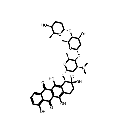 CC[C@@]1(O)CCc2c(O)c3c(c(O)c2[C@H]1O[C@H]1C[C@H](N(C)C)[C@H](O[C@H]2C[C@H](O)[C@H](O[C@H]4CC[C@H](O)[C@H](C)O4)[C@H](C)O2)[C@H](C)O1)C(=O)c1cccc(O)c1C3=O